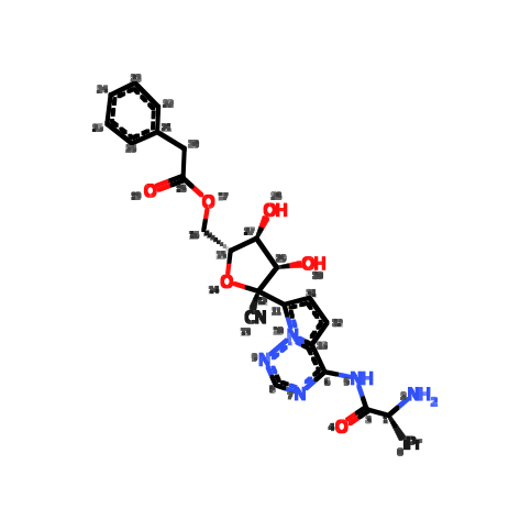 CC(C)[C@H](N)C(=O)Nc1ncnn2c([C@]3(C#N)O[C@H](COC(=O)Cc4ccccc4)[C@@H](O)[C@H]3O)ccc12